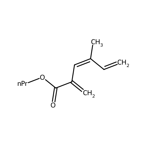 C=CC(C)=CC(=C)C(=O)OCCC